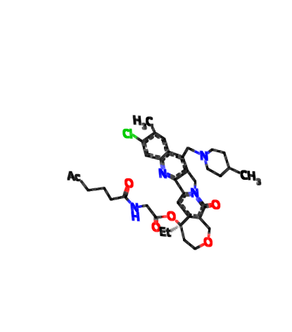 CC[C@@]1(OC(=O)CNC(=O)CCCC(C)=O)CCOCc2c1cc1n(c2=O)Cc2c-1nc1cc(Cl)c(C)cc1c2CN1CCC(C)CC1